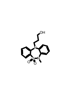 CN1c2ccccc2N(CCCO)c2ccccc2S1(=O)=O